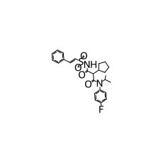 CC(C)N(C(=O)C(C(=O)NS(=O)(=O)/C=C/c1ccccc1)C1CCCC1)c1ccc(F)cc1